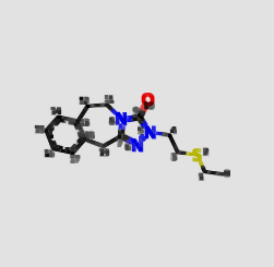 CCSCCn1nc2n(c1=O)CCc1ccccc1C2